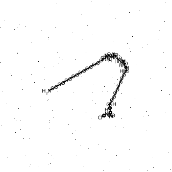 CC(=O)N1c2ccc(-c3ccc(C(=O)NCCOCCOCCOCCOCCOCCOCCOCCOCCNC(=O)c4cc(NC(=O)c5nc(NC(=O)CCNC(=O)c6cc(NC(=O)c7nc(NC(=O)COCCOCCOCCOCCOCCOCCOCCOCCOCCOCCOCCOCCOCCOCCOCCN)cn7C)cn6C)cn5C)cn4C)cc3)cc2[C@H](Nc2ccc(Cl)cc2)C[C@@H]1C